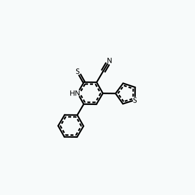 N#Cc1c(-c2ccsc2)cc(-c2ccccc2)[nH]c1=S